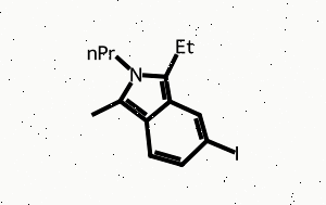 CCCn1c(C)c2ccc(I)cc2c1CC